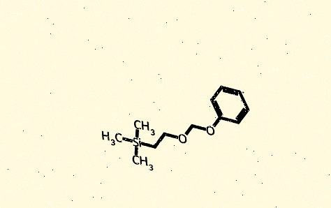 C[Si](C)(C)CCOCOc1cc[c]cc1